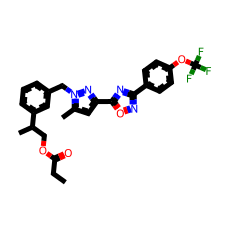 CCC(=O)OCC(C)c1cccc(Cn2nc(-c3nc(-c4ccc(OC(F)(F)F)cc4)no3)cc2C)c1